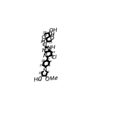 CO[C@H]1CN(c2ccc(-c3nc4nc(O[C@@H]5CO[C@H]6[C@@H]5OC[C@H]6O)[nH]c4cc3Cl)cc2)C[C@@H]1O